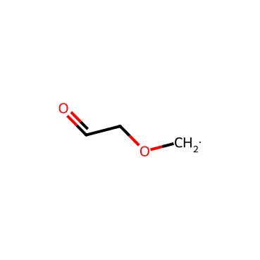 [CH2]OCC=O